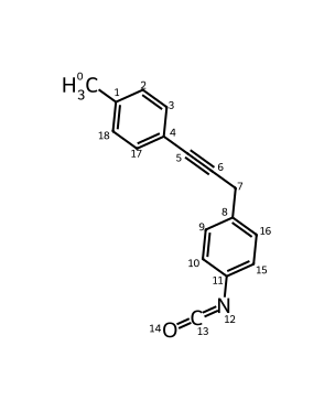 Cc1ccc(C#CCc2ccc(N=C=O)cc2)cc1